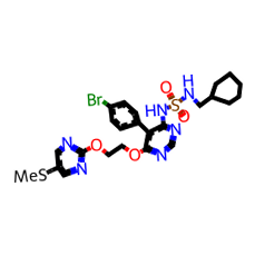 CSc1cnc(OCCOc2ncnc(NS(=O)(=O)NCC3CCCCC3)c2-c2ccc(Br)cc2)nc1